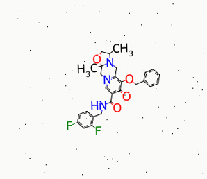 CC1COC2(C)Cn3cc(C(=O)NCc4ccc(F)cc4F)c(=O)c(OCc4ccccc4)c3CN12